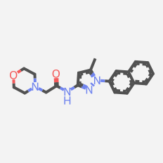 Cc1cc(NC(=O)CN2CCOCC2)nn1-c1ccc2ccccc2c1